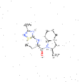 COc1nsc(N[C@@H](CC(C)C)C(=O)N2C(C(=O)O)CC3CCCCC32)n1